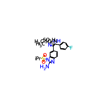 CC(C)S(=O)(=O)n1c(N)nc2ccc(-c3nc[nH]c3-c3ccc(F)cc3)cc21.CS(=O)(=O)O.CS(=O)(=O)O